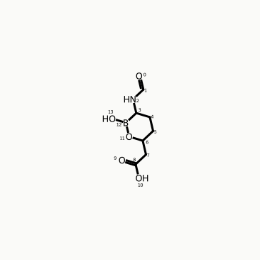 O=CNC1CCC(CC(=O)O)OB1O